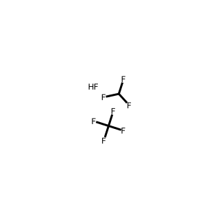 F.FC(F)(F)F.FC(F)F